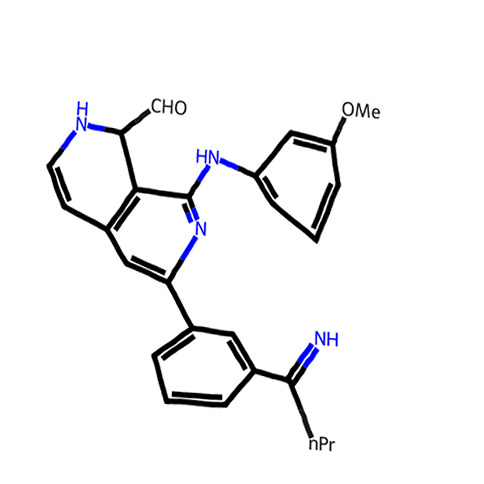 CCCC(=N)c1cccc(-c2cc3c(c(Nc4cccc(OC)c4)n2)C(C=O)NC=C3)c1